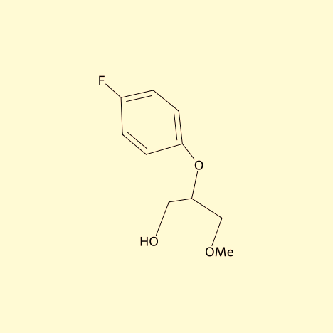 COCC(CO)Oc1ccc(F)cc1